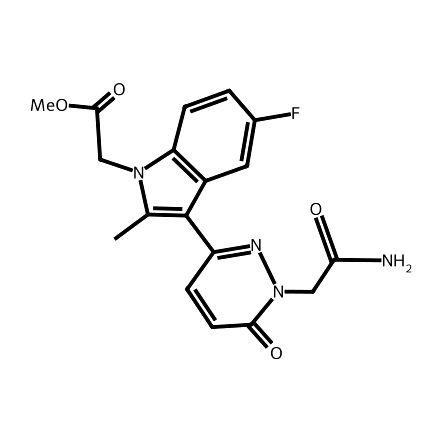 COC(=O)Cn1c(C)c(-c2ccc(=O)n(CC(N)=O)n2)c2cc(F)ccc21